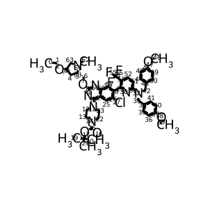 CCO[C@@H]1C[C@@H](COc2nc(N3CCN(C(=O)OC(C)(C)C)CC3)c3cc(Cl)c(-c4nc(N(Cc5ccc(OC)cc5)Cc5ccc(OC)cc5)ccc4C(F)(F)F)cc3n2)N(C)C1